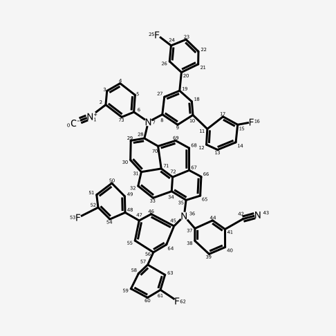 [C-]#[N+]c1cccc(N(c2cc(-c3cccc(F)c3)cc(-c3cccc(F)c3)c2)c2ccc3ccc4c(N(c5cccc(C#N)c5)c5cc(-c6cccc(F)c6)cc(-c6cccc(F)c6)c5)ccc5ccc2c3c54)c1